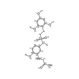 COc1cc(OC)c(CCS(=O)(=O)C(C)c2ccc(OC)c(NCC(=O)O)c2)c(OC)c1